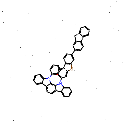 c1ccc(-n2c3ccccc3c3ccc4c5ccccc5n(-c5ccc6c(c5)sc5cc(-c7ccc8c(c7)Cc7ccccc7-8)ccc56)c4c32)cc1